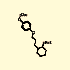 CCCCCCCCCCOc1ccc(OCCCC2CCCCC2CCCCC)cc1